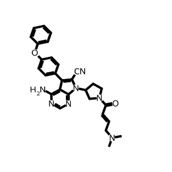 CN(C)CC=CC(=O)N1CCC(n2c(C#N)c(-c3ccc(Oc4ccccc4)cc3)c3c(N)ncnc32)C1